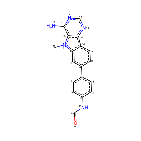 Cn1c2cc(-c3ccc(NC=O)cc3)ccc2c2ncnc(N)c21